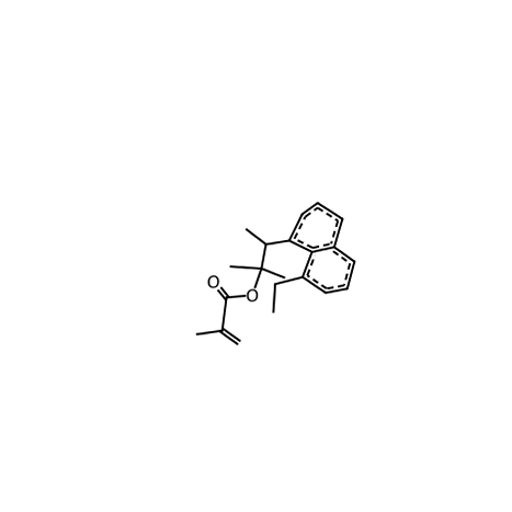 C=C(C)C(=O)OC(C)(C)C(C)c1cccc2cccc(CC)c12